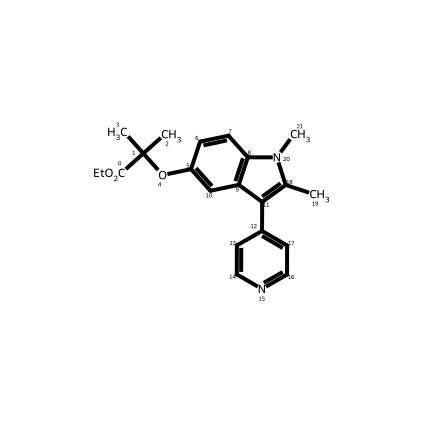 CCOC(=O)C(C)(C)Oc1ccc2c(c1)c(-c1ccncc1)c(C)n2C